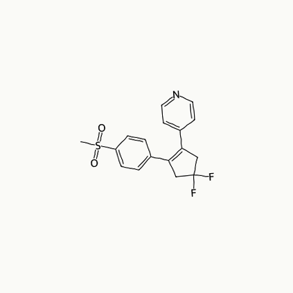 CS(=O)(=O)c1ccc(C2=C(c3ccncc3)CC(F)(F)C2)cc1